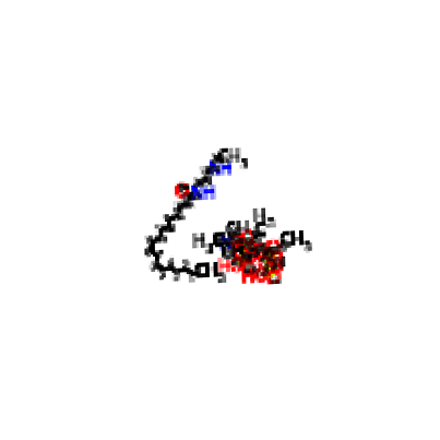 CCCCC/C=C\C/C=C\CCCCCCCC(=O)NCCCNCC.CCN(C)C.CCOS(=O)(=O)OS(=O)(=O)O.CCOS(=O)(=O)OS(=O)(=O)O